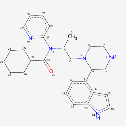 CC(CN1CCNCC1c1cccc2[nH]ccc12)N(C(=O)C1CCCCC1)c1ccccn1